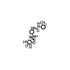 Cc1ccccc1NC(=O)Nc1cccc(NS(=O)(=O)c2c[nH]c(=O)[nH]c2=O)c1